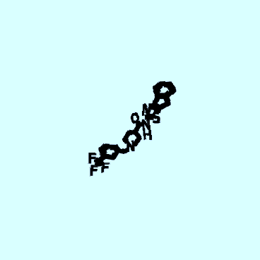 O=C(Nc1nc2c(s1)Cc1ccccc1-2)C1CCN(Cc2cccc(C(F)(F)F)c2)CC1